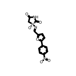 O=C1C[N+]([O-])(N=Cc2ccc(-c3ccc([N+](=O)[O-])cc3)o2)C(=O)N1